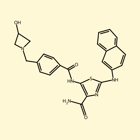 NC(=O)c1nc(Nc2ccc3ccccc3c2)sc1NC(=O)c1ccc(CN2CC(O)C2)cc1